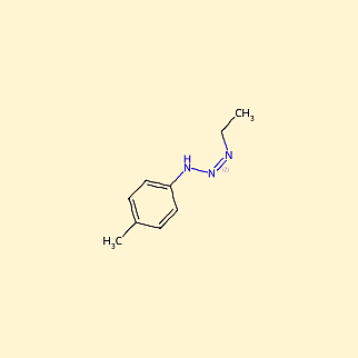 CC/N=N\Nc1ccc(C)cc1